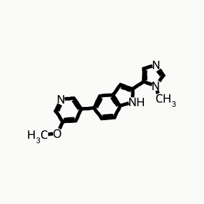 COc1cncc(-c2ccc3[nH]c(-c4cncn4C)cc3c2)c1